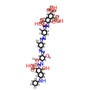 COc1cc(N=Nc2c(S(=O)(=O)O)cc3cc(Nc4ccccc4)ccc3c2O)c(OC)cc1N=Nc1ccc(N=Nc2ccc(N=Nc3cc4c(S(=O)(=O)O)cc(S(=O)(=O)O)cc4cc3S(=O)(=O)O)c(C)c2)c(C)c1